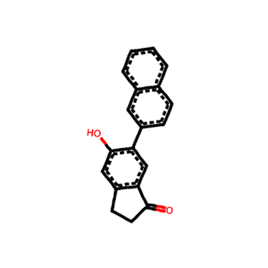 O=C1CCc2cc(O)c(-c3ccc4ccccc4c3)cc21